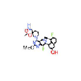 C#Cc1c(F)ccc2cc(O)cc(-c3ncc4c(N5CCCC6(CNOC(C)O6)C5)nc(OC)nc4c3F)c12